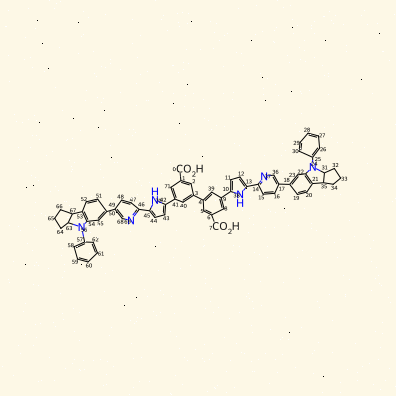 O=C(O)c1cc(-c2cc(C(=O)O)cc(-c3ccc(-c4ccc(-c5ccc6c(c5)N(c5ccccc5)C5CCCC65)cn4)[nH]3)c2)cc(-c2ccc(-c3ccc(-c4ccc5c(c4)N(c4ccccc4)C4CCCC54)cn3)[nH]2)c1